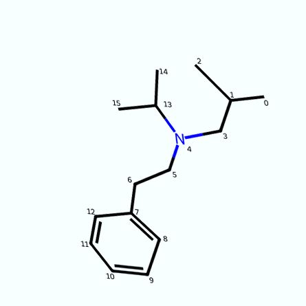 CC(C)CN(CCc1ccccc1)C(C)C